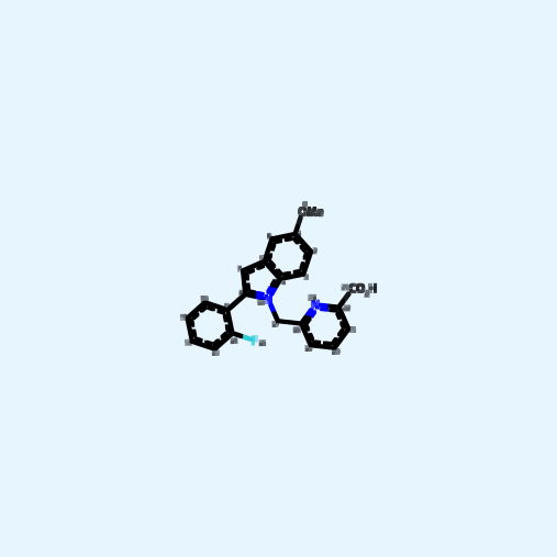 COc1ccc2c(c1)cc(-c1ccccc1F)n2Cc1cccc(C(=O)O)n1